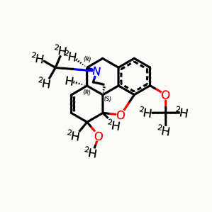 [2H]OC1([2H])C=C[C@H]2[C@@]3([2H])Cc4ccc(OC([2H])([2H])[2H])c5c4[C@@]2(CCN3C([2H])([2H])[2H])C1([2H])O5